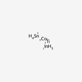 [Co].[InH3].[SnH4].[Ti]